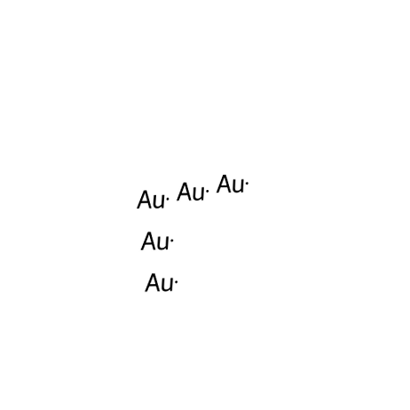 [Au].[Au].[Au].[Au].[Au]